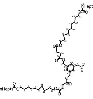 CCCCCCCC(=O)OCCCCCCCCCCOC(=O)CCC(=O)OCc1cc(COC(=O)CCC(=O)OCCCCCCCCCCOC(=O)CCCCCCC)cc(CN(C)C)c1